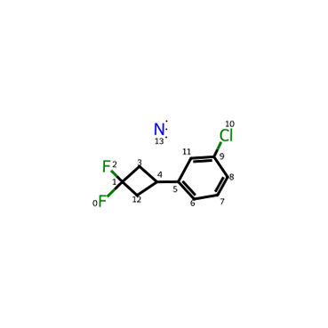 FC1(F)CC(c2cccc(Cl)c2)C1.[N]